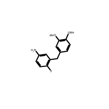 COc1ccc(Cc2cc(N)ccc2F)cc1OC